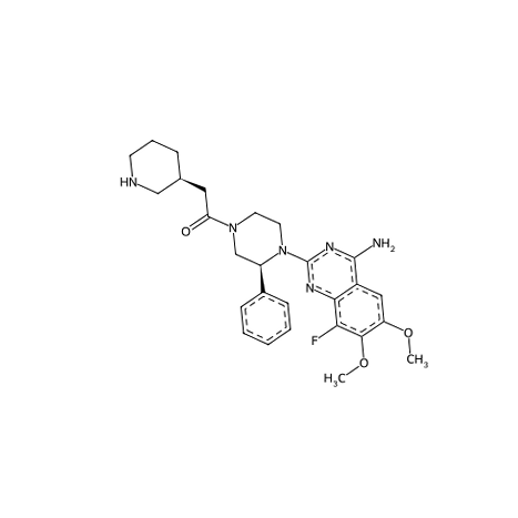 COc1cc2c(N)nc(N3CCN(C(=O)C[C@@H]4CCCNC4)C[C@@H]3c3ccccc3)nc2c(F)c1OC